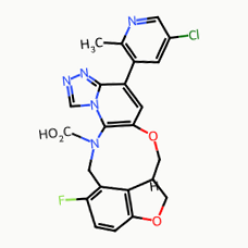 Cc1ncc(Cl)cc1-c1cc2c(n3cnnc13)N(C(=O)O)Cc1c(F)ccc3c1[C@@H](CO3)CO2